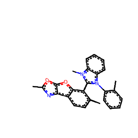 Cc1nc2c(o1)oc1c(-c3n(-c4ccccc4C)c4ccccc4[n+]3C)c(C)ccc12